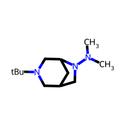 CN(C)N1CC2CC1CN(C(C)(C)C)C2